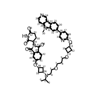 CC(C)N(CCOCCCO[C@H]1C[C@H](Oc2ccc(-c3ccc4c5cnccc5n(C)c4c3)cn2)C1)[C@H]1C[C@H](Oc2ccc3c(c2)C(=O)N(C2CCC(=O)NC2=O)C3=O)C1